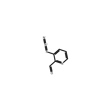 [N-]=[N+]=Nc1cccnc1C=O